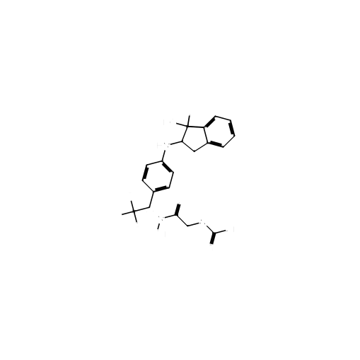 CC(=O)NCC(=O)N(C)[C@@H](c1ccc(NC2Cc3ccccc3C2(C)C)cc1)C(F)(F)F